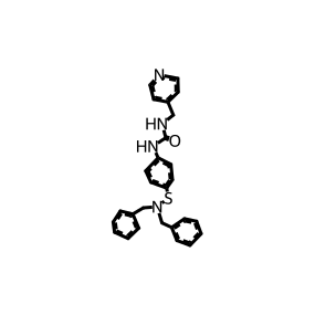 O=C(NCc1ccncc1)Nc1ccc(SN(Cc2ccccc2)Cc2ccccc2)cc1